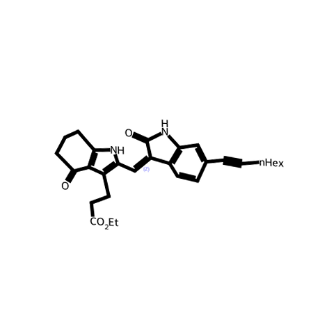 CCCCCCC#Cc1ccc2c(c1)NC(=O)/C2=C\c1[nH]c2c(c1CCC(=O)OCC)C(=O)CCC2